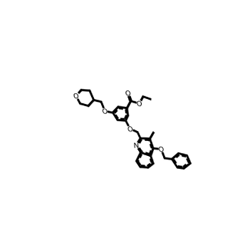 CCOC(=O)c1cc(OCc2nc3ccccc3c(OCc3ccccc3)c2C)cc(OCC2CCOCC2)c1